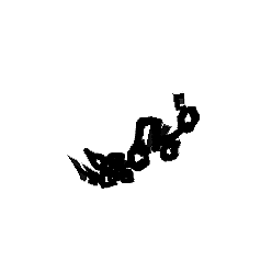 O=C(c1cccc(F)c1)N1CCc2cc(S(=O)(=O)N3CCNC3=O)ccc21